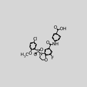 COc1ccc(Cl)cc1S(=O)(=O)N1CCOc2c(F)cc(C(=O)Nc3ccc(C(=O)O)cc3)cc21